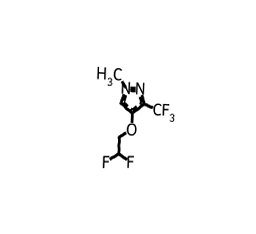 Cn1cc(OCC(F)F)c(C(F)(F)F)n1